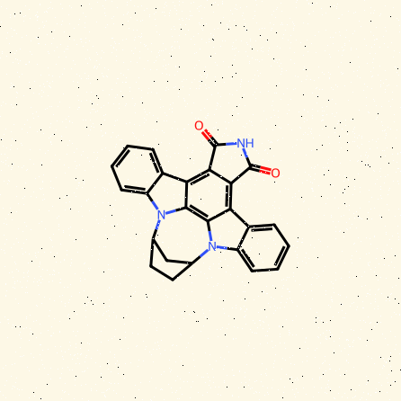 O=C1NC(=O)c2c1c1c3ccccc3n3c1c1c2c2ccccc2n1C1CCC3C1